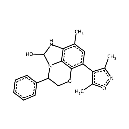 Cc1cc(-c2c(C)noc2C)c2c3c1NC(O)N3C(c1ccccc1)CO2